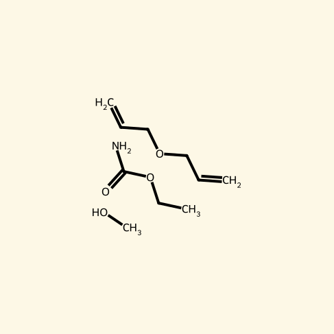 C=CCOCC=C.CCOC(N)=O.CO